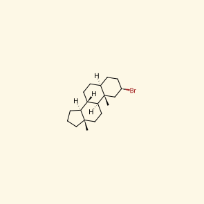 C[C@@]12CCC[C@H]1[C@@H]1CC[C@H]3CC[C@@H](Br)C[C@]3(C)[C@H]1CC2